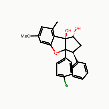 COc1cc(C)c2c(c1)O[C@@]1(c3ccc(Br)cc3)[C@H](c3ccccc3)C[C@@H](O)[C@@]21O